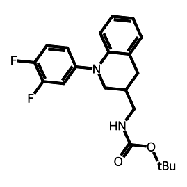 CC(C)(C)OC(=O)NCC1Cc2ccccc2N(c2ccc(F)c(F)c2)C1